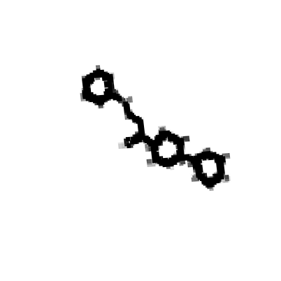 O=C(CCSc1ccccc1)c1ccc(-c2ccccc2)cc1